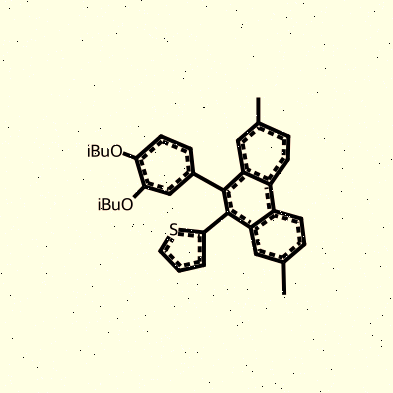 Cc1ccc2c(c1)c(-c1ccc(OCC(C)C)c(OCC(C)C)c1)c(-c1cccs1)c1cc(C)ccc12